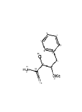 COC(Cc1ccccc1)C(Cl)C(N)=O